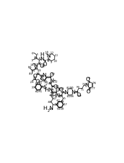 CC[C@H](C)C(NC(=O)[C@H]1CCCCN1C)C(=O)N(C)[C@H](C[C@@H](OC(C)=O)c1nc(C(=O)N(C)[C@@H](CSc2ccccc2)C(=O)N[C@H](CCCCN)C(=O)N[C@@H](Cc2ccccc2)C(=O)N2CCN(C(=O)CCCN3C(=O)C=CC3=O)CC2)cs1)C(C)C